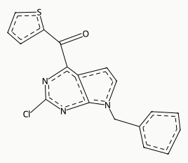 O=C(c1cccs1)c1nc(Cl)nc2c1ccn2Cc1ccccc1